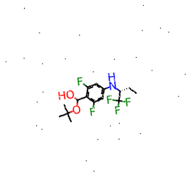 CC[C@@H](Nc1cc(F)c(C(O)OC(C)(C)C)c(F)c1)C(F)(F)F